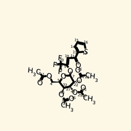 CC(=O)OC[C@H]1OC(O/C(=C\C(=O)c2cccs2)C(F)(F)F)[C@H](OC(C)=O)[C@@H](OC(C)=O)[C@H]1OC(C)=O